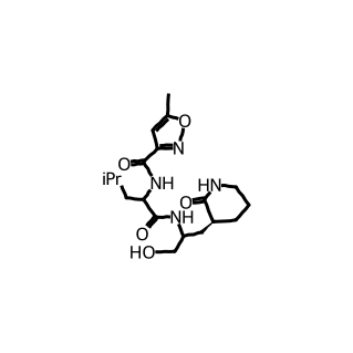 Cc1cc(C(=O)NC(CC(C)C)C(=O)NC(CO)C[C@@H]2CCCNC2=O)no1